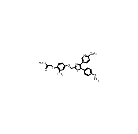 COC(=O)COc1ccc(OCc2nc(-c3ccc(OC)nc3)c(-c3ccc(OC(F)(F)F)cc3)s2)cc1C